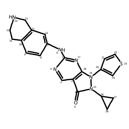 O=c1c2cnc(Nc3ccc4c(c3)CNCC4)nc2n(-c2ccsc2)n1C1CC1